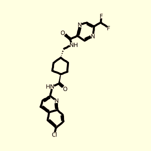 O=C(NC[C@H]1CC[C@H](C(=O)Nc2ccc3cc(Cl)ccc3n2)CC1)c1cnc(C(F)F)cn1